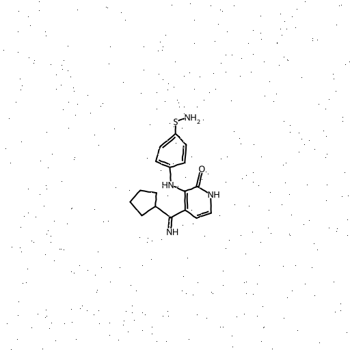 N=C(c1cc[nH]c(=O)c1Nc1ccc(SN)cc1)C1CCCC1